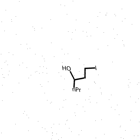 CCCC(O)CCI